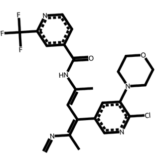 C=N/C(C)=C(\C=C(/C)NC(=O)c1ccnc(C(F)(F)F)c1)c1cnc(Cl)c(N2CCOCC2)c1